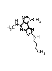 CCCCNc1nc2c(nc(NC)c3ncn(C)c32)s1